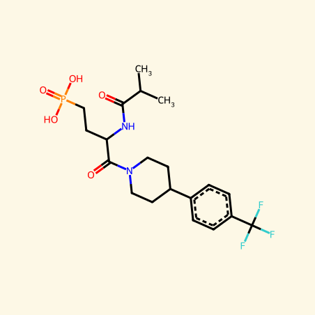 CC(C)C(=O)NC(CCP(=O)(O)O)C(=O)N1CCC(c2ccc(C(F)(F)F)cc2)CC1